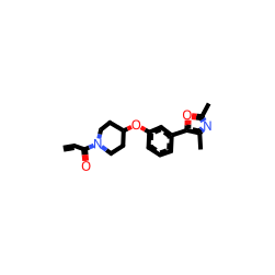 C=CC(=O)N1CCC(Oc2cccc(-c3oc(C)nc3C)c2)CC1